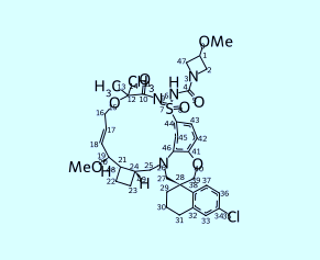 COC1CN(C(=O)N[S@]2(=O)=NC(=O)C(C)(C)OC/C=C/[C@H](OC)[C@@H]3CC[C@H]3CN3C[C@@]4(CCCc5cc(Cl)ccc54)COc4ccc2cc43)C1